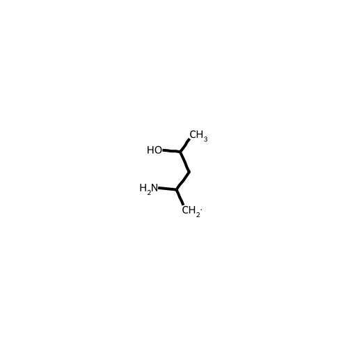 [CH2]C(N)CC(C)O